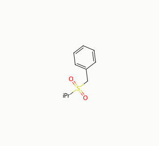 CC(C)S(=O)(=O)Cc1ccccc1